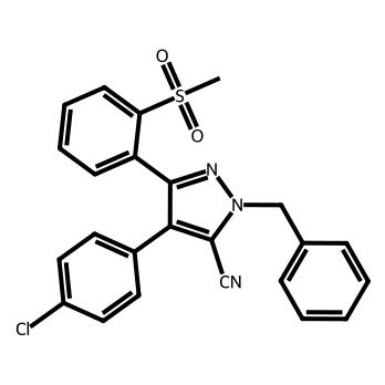 CS(=O)(=O)c1ccccc1-c1nn(Cc2ccccc2)c(C#N)c1-c1ccc(Cl)cc1